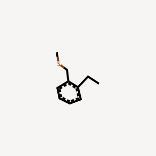 CCc1ccccc1CSC